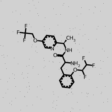 C[C@@H](NC(=O)C(N)Cc1ccccc1OC(F)C(F)F)c1ccc(OCC(F)(F)F)cn1